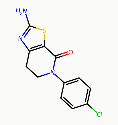 Nc1nc2c(s1)C(=O)N(c1ccc(Cl)cc1)CC2